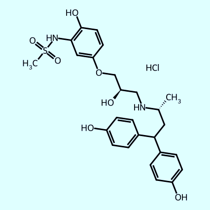 C[C@H](CC(c1ccc(O)cc1)c1ccc(O)cc1)NC[C@@H](O)COc1ccc(O)c(NS(C)(=O)=O)c1.Cl